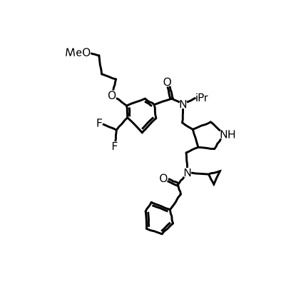 COCCCOc1cc(C(=O)N(CC2CNCC2CN(C(=O)Cc2ccccc2)C2CC2)C(C)C)ccc1C(F)F